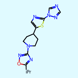 CC(C)c1nc(N2CCC(c3cnc(-n4cncn4)s3)CC2)no1